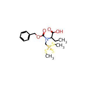 CCC(C(=O)O)N(CP(=S)(SC)SC)C(=O)OCc1ccccc1